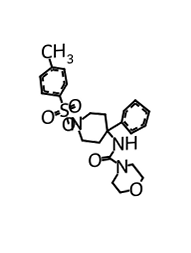 Cc1ccc(S(=O)(=O)ON2CCC(NC(=O)N3CCOCC3)(c3ccccc3)CC2)cc1